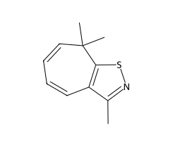 Cc1nsc2c1C=CC=CC2(C)C